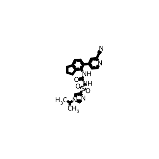 CC(C)n1cnc(S(=O)(=O)NC(=O)Nc2c(-c3ccnc(C#N)c3)ccc3c2CCC3)c1